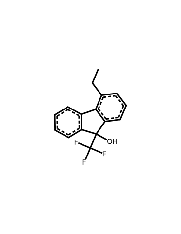 CCc1cccc2c1-c1ccccc1C2(O)C(F)(F)F